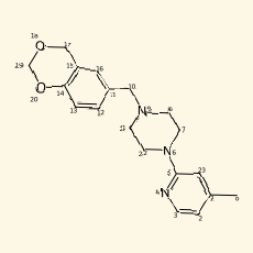 Cc1ccnc(N2CCN(Cc3ccc4c(c3)COCO4)CC2)c1